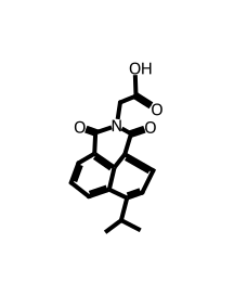 CC(C)c1ccc2c3c(cccc13)C(=O)N(CC(=O)O)C2=O